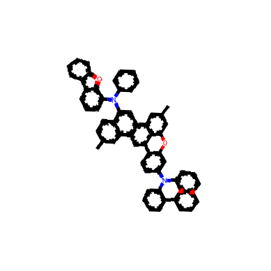 Cc1ccc2c(N(c3ccccc3)c3cccc4c3oc3ccccc34)cc3c4cc(C)cc5c4c(cc3c2c1)-c1ccc(N(c2ccccc2)c2ccccc2-c2ccccc2)cc1O5